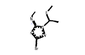 C/N=c1/sc(Br)nn1C(C)SC